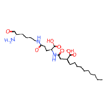 CCCCCCCCCCC(CC(=O)N[C@@H](CCC(=O)NCCCC[C@H](N)C=O)C(=O)O)C(=O)O